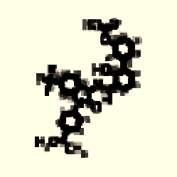 CC(C)c1ccc(N2C(=O)C(=NNc3cccc(-c4cccc(OC(=O)O)c4)c3O)c3ccc(C(F)(F)F)cc32)cc1